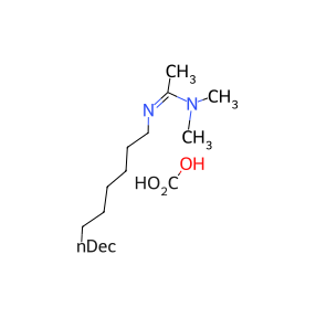 CCCCCCCCCCCCCCCCN=C(C)N(C)C.O=C(O)O